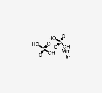 O=S(=O)(O)O.O=S(=O)(O)O.[Ir].[Mn]